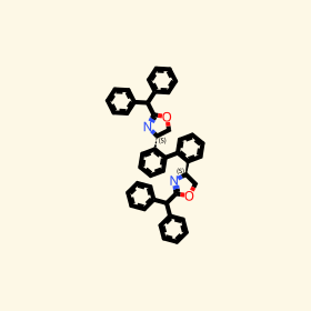 c1ccc(C(C2=N[C@@H](c3ccccc3-c3ccccc3[C@H]3COC(C(c4ccccc4)c4ccccc4)=N3)CO2)c2ccccc2)cc1